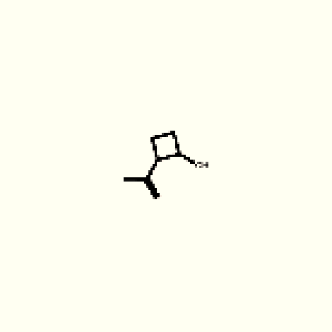 C=C(C)C1CCC1O